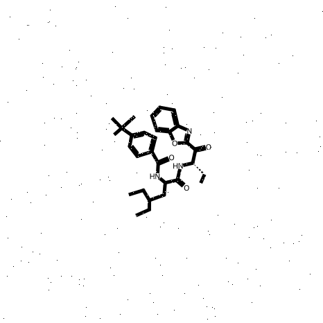 CCC(CC)CC(NC(=O)c1ccc(C(C)(C)C)cc1)C(=O)N[C@@H](CC)C(=O)c1nc2ccccc2o1